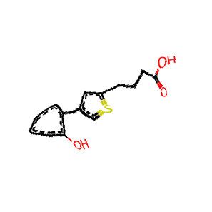 O=C(O)CCCc1cc(-c2ccccc2O)cs1